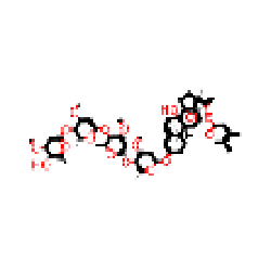 CO[C@H]1C[C@H](OC2CC[C@@]3(C)C(=CC[C@]4(O)[C@@H]3C[C@@H](OC(=O)CC(C)=C(C)C)[C@@]3(C)[C@@]4(O)CC[C@@]3(C)C(C)=O)C2)O[C@H](C)C1O[C@H]1C[C@H](OC)[C@H](O[C@H]2C[C@H](OC)[C@H](O[C@H]3C[C@@H](OC)[C@@H](O)[C@H](C)O3)[C@@H](C)O2)[C@H](C)O1